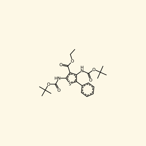 CCOC(=O)c1c(NC(=O)OC(C)(C)C)sc(-c2ccccc2)c1NC(=O)OC(C)(C)C